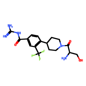 N=C(N)NC(=O)c1ccc(C2CCN(C(=O)C(N)CO)CC2)c(C(F)(F)F)c1